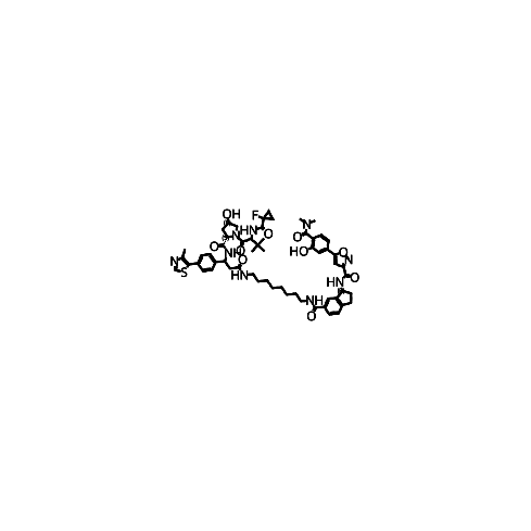 Cc1ncsc1-c1ccc(C(CC(=O)NCCCCCCCCNC(=O)c2ccc3c(c2)[C@H](NC(=O)c2cc(-c4ccc(C(=O)N(C)C)c(O)c4)on2)CC3)NC(=O)[C@@H]2C[C@@H](O)CN2C(=O)C(NC(=O)C2(F)CC2)C(C)(C)C)cc1